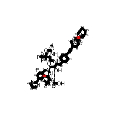 COC(=O)NC(C(=O)NC(Cc1ccc(C#Cc2ccc(N3CC4CCC(C3)N4C3COC3)nc2)cc1)C(O)CN(Cc1c(F)cc(-c2ncccn2)cc1F)NC(=O)C(NC(=O)O)C(C)(C)C)C(C)(C)C(F)(F)F